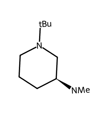 CN[C@H]1CCCN(C(C)(C)C)C1